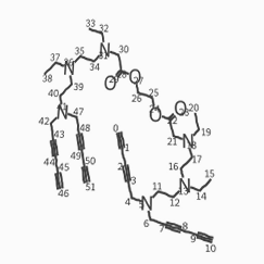 C#CC#CCN(CC#CC#C)CCN(CC)CCN(CC)CC(=O)OCCOC(=O)CN(CC)CCN(CC)CCN(CC#CC#C)CC#CC#C